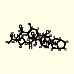 Cc1cc(C(=O)NC2CC3CCC(C2)N3c2ccc(C(=O)NC3CN(C(C)C)C3)cn2)c(C)cc1C(N)=O